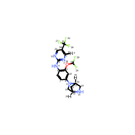 [2H]c1nc(Nc2ccc(N3C[C@@H]4C[C@H]3CN4)cc2OC(F)F)ncc1C(F)(F)F